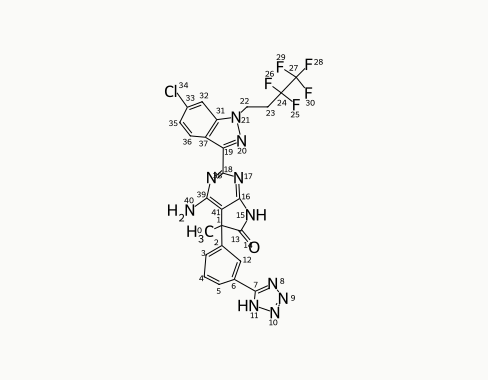 CC1(c2cccc(-c3nnn[nH]3)c2)C(=O)Nc2nc(-c3nn(CCC(F)(F)C(F)(F)F)c4cc(Cl)ccc34)nc(N)c21